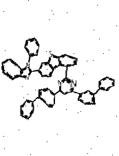 c1ccc(-c2ccc(-c3cc(-c4cccc(-c5ccccc5)c4)nc(-c4cccc5sc6cc(-c7nc8ccccc8n7-c7ccccc7)ccc6c45)n3)cc2)cc1